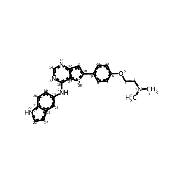 CN(C)CCOc1ccc(-c2cc3ncnc(Nc4ccc5[nH]ccc5c4)c3s2)cc1